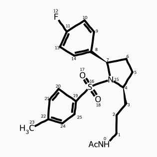 CC(=O)NCCC[C@@H]1CC[C@H](c2ccc(F)cc2)N1S(=O)(=O)c1ccc(C)cc1